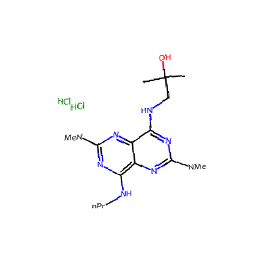 CCCNc1nc(NC)nc2c(NCC(C)(C)O)nc(NC)nc12.Cl.Cl